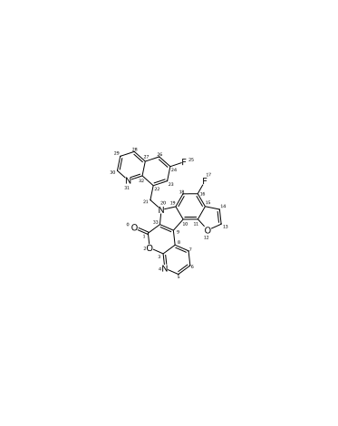 O=c1oc2ncccc2c2c3c4occc4c(F)cc3n(Cc3cc(F)cc4cccnc34)c12